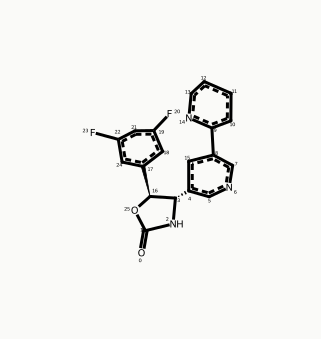 O=C1N[C@@H](c2cncc(-c3ccccn3)c2)[C@H](c2cc(F)cc(F)c2)O1